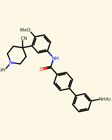 COc1ccc(NC(=O)c2ccc(-c3cccc(NC(C)=O)c3)cc2)cc1C1(C#N)CCN(C(C)C)CC1